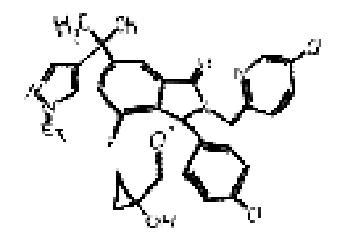 CCn1cc(C(C)(O)c2cc(F)c3c(c2)C(=O)N(Cc2ccc(Cl)cn2)[C@@]3(OCC2(O)CC2)c2ccc(Cl)cc2)cn1